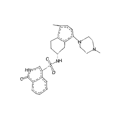 Cc1ccc(N2CCN(C)CC2)c2c1CC[C@@H](NS(=O)(=O)c1c[nH]c(=O)c3ccccc13)C2